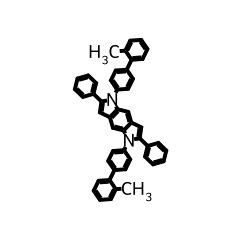 Cc1ccccc1-c1ccc(-n2c(-c3ccccc3)cc3cc4c(cc(-c5ccccc5)n4-c4ccc(-c5ccccc5C)cc4)cc32)cc1